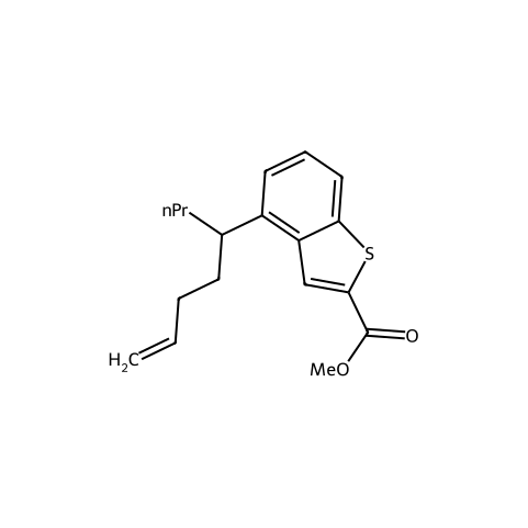 C=CCCC(CCC)c1cccc2sc(C(=O)OC)cc12